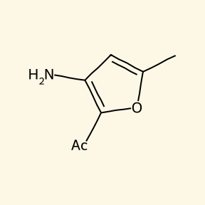 CC(=O)c1oc(C)cc1N